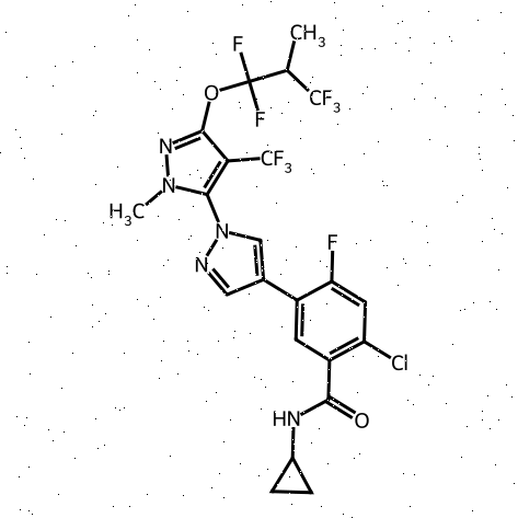 CC(C(F)(F)F)C(F)(F)Oc1nn(C)c(-n2cc(-c3cc(C(=O)NC4CC4)c(Cl)cc3F)cn2)c1C(F)(F)F